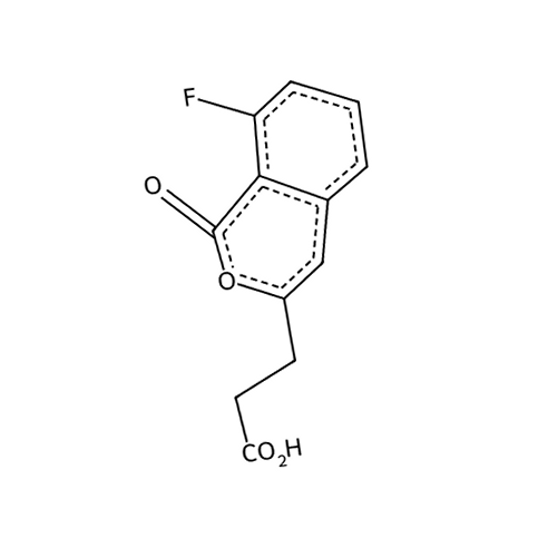 O=C(O)CCc1cc2cccc(F)c2c(=O)o1